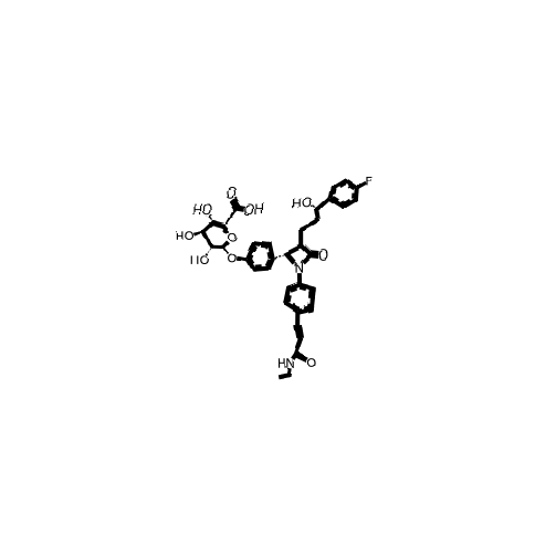 CCNC(=O)C#Cc1ccc(N2C(=O)C(CC[C@H](O)c3ccc(F)cc3)[C@H]2c2ccc(O[C@@H]3O[C@H](C(=O)O)[C@@H](O)[C@H](O)[C@H]3O)cc2)cc1